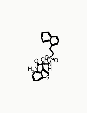 C[C@](NS(=O)(=O)CCc1cccc2ccccc12)(C(N)=O)c1csc2ccccc12